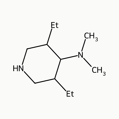 CCC1CNCC(CC)C1N(C)C